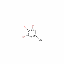 N#Cc1cc(Br)c([O])c(Br)c1